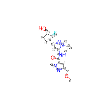 COCc1cc(C(=O)Nc2cc([C@@H]3CC[C@H](O)[C@H]3F)nn2C(C)(C)C)n(C)n1